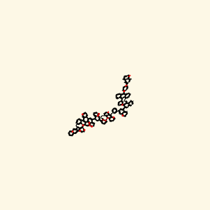 c1cc(-c2cc(-c3cc4ccccc4c4sc5c(-c6c7ccccc7c(-c7ccc(-c8ccc9ccccc9c8)cc7)c7ccccc67)cccc5c34)c3ccccc3c2)cc(-c2c3ccccc3c(-c3cccc4c3sc3c5ccccc5c(-c5cc(-c6ccccc6-c6c7ccccc7c(-c7cccc8c7sc7cc9ccccc9cc78)c7ccccc67)cc6ccccc56)cc43)c3ccccc23)c1